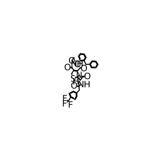 CONC(=O)C1=C(C(=O)OC(c2ccccc2)c2ccccc2)N2C(=O)C(NC(=O)Cc3ccc(C(F)(F)F)cc3)[C@@H]2SC1